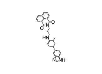 CC1CC(c2ccc3[nH]cnc3c2)=CC=C1NCCCN1C(=O)c2cccc3cccc(c23)C1=O